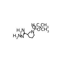 CC(C)(C)OC(=O)N1CCCC(C(N)=NN)C1